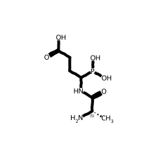 C[C@H](N)C(=O)NC(CCC(=O)O)P(O)O